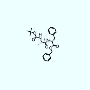 C[C@H](NC(=O)OC(C)(C)C)C(=O)N[C@@H](Cc1ccccc1)C(=O)OCc1ccccc1